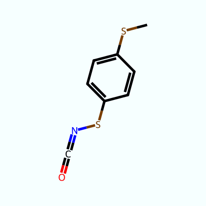 CSc1ccc(SN=C=O)cc1